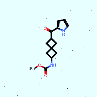 CC(C)(C)OC(=O)NC1CC2(C1)CC(C(=O)c1ccc[nH]1)C2